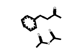 CC(=O)CCc1ccccc1.CC(=O)OC(C)=O